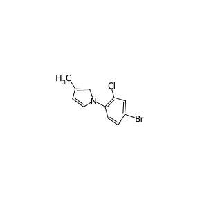 Cc1ccn(-c2ccc(Br)cc2Cl)c1